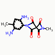 Cc1cc(N)c(N2C(=O)C3(C(=O)N(C)C3=O)C2=O)cc1N